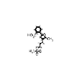 Cc1oc(-c2ccccc2C(=O)O)nc1CCCOS(C)(=O)=O